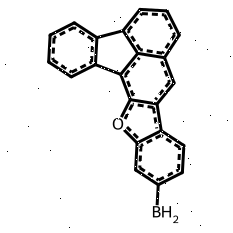 Bc1ccc2c(c1)oc1c3c4c(cccc4cc12)-c1ccccc1-3